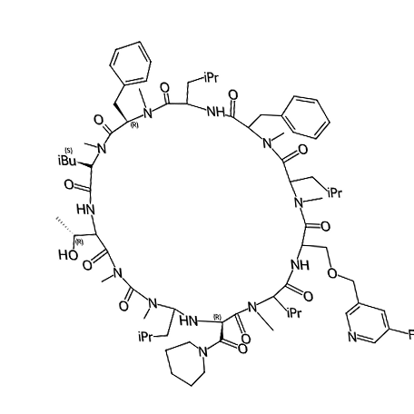 CC[C@H](C)C1C(=O)NC([C@@H](C)O)C(=O)N(C)C(=O)N(C)C(CC(C)C)N[C@H](C(=O)N2CCCCC2)C(=O)N(C)C(C(C)C)C(=O)NC(COCc2cncc(F)c2)C(=O)N(C)C(CC(C)C)C(=O)N(C)C(Cc2ccccc2)C(=O)NC(CC(C)C)C(=O)N(C)[C@H](Cc2ccccc2)C(=O)N1C